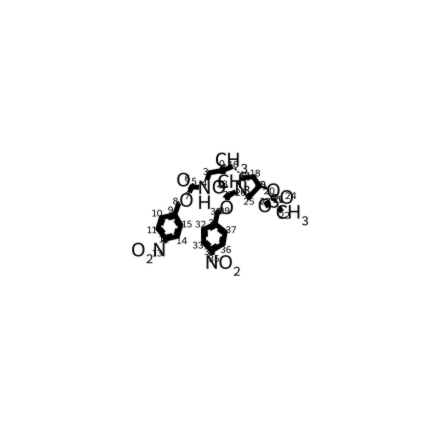 CC(C)(CNC(=O)OCc1ccc([N+](=O)[O-])cc1)C[C@@H]1C[C@@H](OS(C)(=O)=O)CN1C(=O)OCc1ccc([N+](=O)[O-])cc1